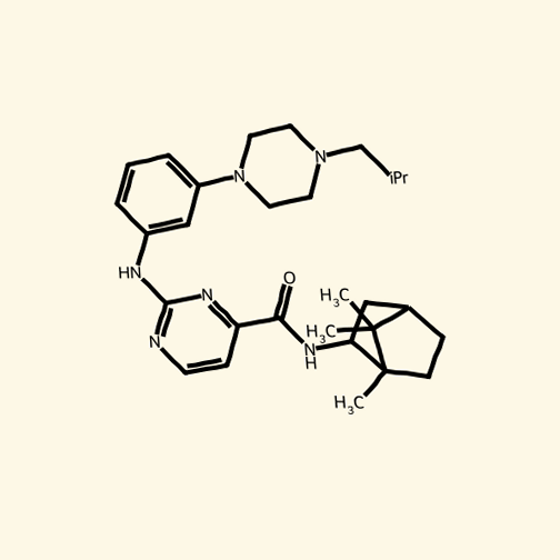 CC(C)CN1CCN(c2cccc(Nc3nccc(C(=O)NC4CC5CCC4(C)C5(C)C)n3)c2)CC1